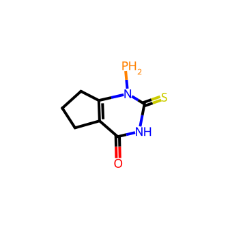 O=c1[nH]c(=S)n(P)c2c1CCC2